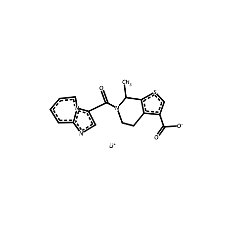 CC1c2scc(C(=O)[O-])c2CCN1C(=O)c1cnc2ccccn12.[Li+]